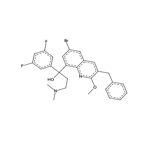 COc1nc2c(C(O)(CCN(C)C)c3cc(F)cc(F)c3)cc(Br)cc2cc1Cc1ccccc1